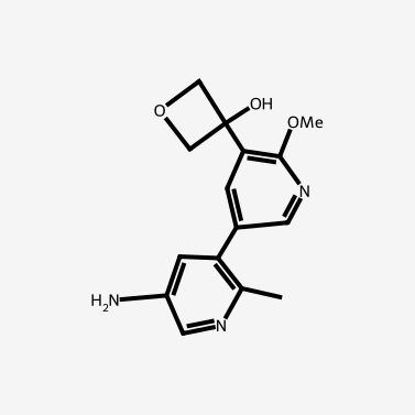 COc1ncc(-c2cc(N)cnc2C)cc1C1(O)COC1